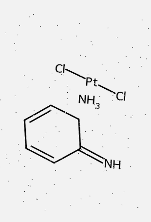 N.N=C1C=CC=CC1.[Cl][Pt][Cl]